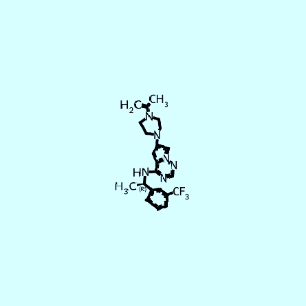 C=C(C)N1CCN(c2cc3c(N[C@H](C)c4cccc(C(F)(F)F)c4)ncnn3c2)CC1